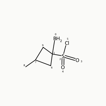 BC1(S(=O)(=O)Cl)CC(C)C1